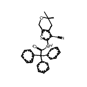 CC1(C)Cc2c(sc(NC(=O)C(c3ccccc3)(c3ccccc3)c3ccccc3)c2C#N)CO1